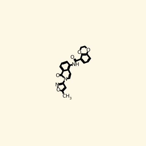 Cc1cc(-n2ccc3c(NC(=O)c4cccc5c4OCCO5)cccc3c2=O)no1